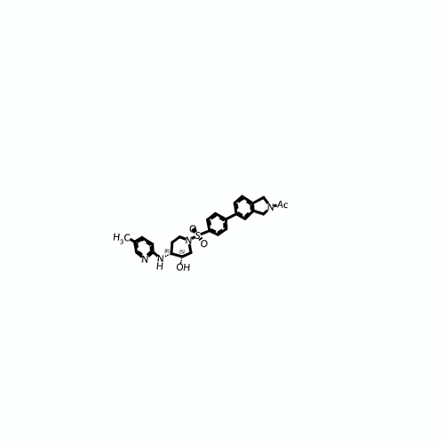 CC(=O)N1Cc2ccc(-c3ccc(S(=O)(=O)N4CC[C@@H](Nc5ccc(C)cn5)[C@@H](O)C4)cc3)cc2C1